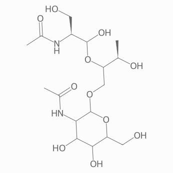 CC(=O)NC1C(OCC(OC(O)[C@H](CO)NC(C)=O)[C@@H](C)O)OC(CO)C(O)C1O